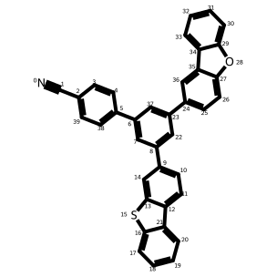 N#Cc1ccc(-c2cc(-c3ccc4c(c3)sc3ccccc34)cc(-c3ccc4oc5ccccc5c4c3)c2)cc1